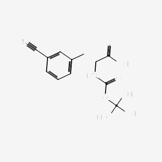 CC(C)(C)OC(=O)N[C@H](Cc1cccc(C#N)c1)C(=O)O